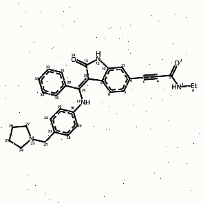 CCNC(=O)C#Cc1ccc2c(c1)NC(=O)C2=C(Nc1ccc(CN2CCCC2)cc1)c1ccccc1